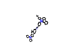 CC(C)(C)c1ccc(N(c2ccc(/C=C/c3ccc4c(c3)C(C)(C)c3cc(N(c5ccccc5)c5ccccc5)ccc3-4)cc2)c2cc3ccccc3c3ccccc23)cc1